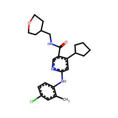 Cc1cc(Cl)ccc1Nc1cc(C2CCCC2)c(C(=O)NCC2CCOCC2)cn1